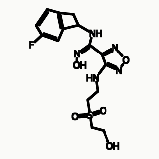 O=S(=O)(CCO)CCNc1nonc1C(=NO)NC1Cc2ccc(F)cc21